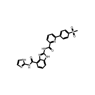 CS(=O)(=O)c1ccc(-c2cccc(C(=O)Nc3nc4c(C(=O)Nc5ncc[nH]5)cccc4[nH]3)n2)cc1